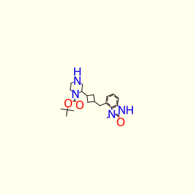 Cn1c(=O)[nH]c2cccc(CC3CC(C4CNCCN4C(=O)OC(C)(C)C)C3)c21